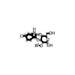 OC[C@H]1O[C@@H](O)[C@H](OBr)[C@@H](Oc2c[nH]c3cc(Cl)ccc23)[C@@H]1O